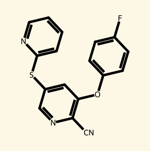 N#Cc1ncc(Sc2ccccn2)cc1Oc1ccc(F)cc1